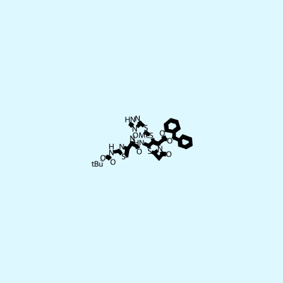 CO/N=C(\C(=O)NC1SC2CC(=O)N2C(C(=O)OC(c2ccccc2)c2ccccc2)=C1SCSc1nc[nH]n1)c1csc(NC(=O)OC(C)(C)C)n1